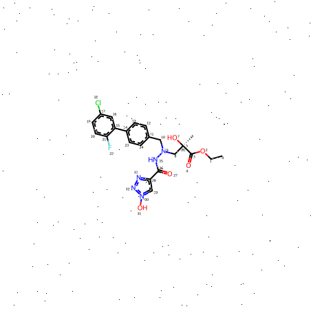 CCOC(=O)[C@](C)(O)CN(Cc1ccc(-c2cc(Cl)ccc2F)cc1)NC(=O)c1cn(O)nn1